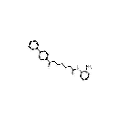 Nc1ccccc1NC(=O)CCCCCC(=O)c1ccc(-c2ccccc2)cc1